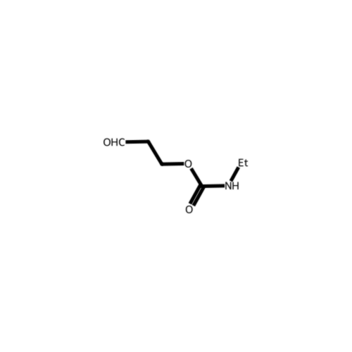 CCNC(=O)OCCC=O